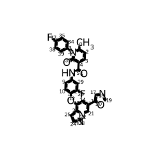 Cc1ccc(C(=O)Nc2ccc(Oc3cc(-c4cnco4)cn4nccc34)c(F)c2)c(=O)n1-c1ccc(F)cc1